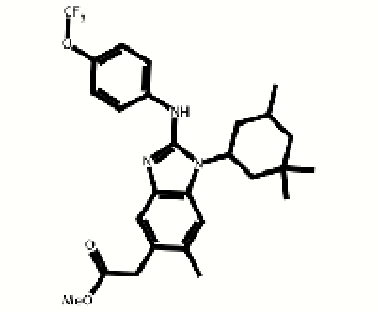 COC(=O)Cc1cc2nc(Nc3ccc(OC(F)(F)F)cc3)n(C3CC(C)CC(C)(C)C3)c2cc1C